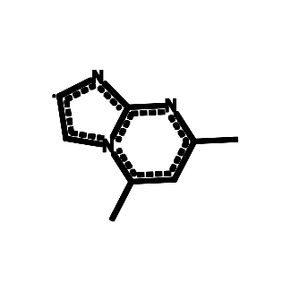 Cc1cc(C)n2c[c]nc2n1